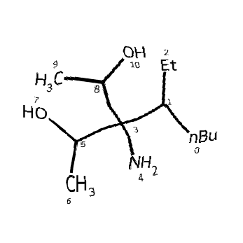 CCCCC(CC)C(N)(C(C)O)C(C)O